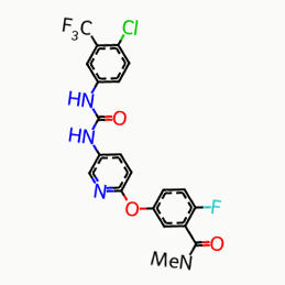 CNC(=O)c1cc(Oc2ccc(NC(=O)Nc3ccc(Cl)c(C(F)(F)F)c3)cn2)ccc1F